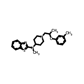 Cc1cccc(OC(C)CN2CCC(N(C)c3nc4ccccc4s3)CC2)c1